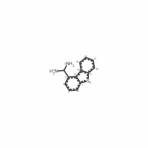 NC(N)c1cccc2sc3ccccc3c12